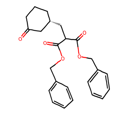 O=C1CCC[C@H](CC(C(=O)OCc2ccccc2)C(=O)OCc2ccccc2)C1